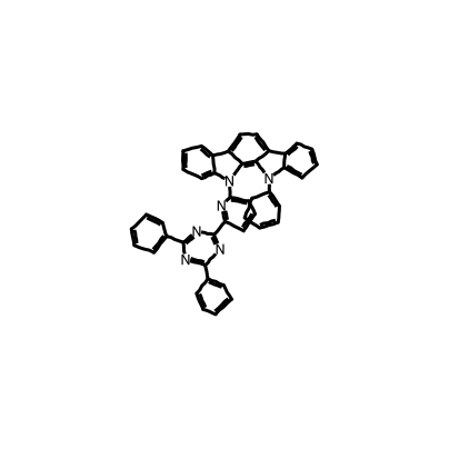 C1=CCCC(n2c3ccccc3c3ccc4c5ccccc5n(-c5cccc(-c6nc(-c7ccccc7)nc(-c7ccccc7)n6)n5)c4c32)=C1